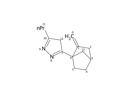 C=C1CC2CCC1(C1=NN=C(CCC)C1)C2